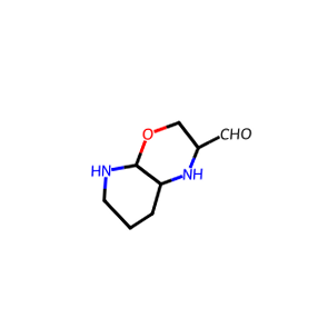 O=CC1COC2NCCCC2N1